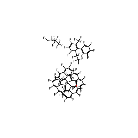 FC[NH2+]C(F)(F)C(F)(F)F.Fc1c(F)c(F)c(-c2c(C(F)(F)F)c(F)c(F)c(F)c2C(F)(F)C(F)(F)F)c(F)c1F.Fc1c(F)c(F)c2[c]([Al-]([c]3c(F)c(F)c(F)c4c(F)c(F)c(F)c(F)c34)([c]3c(F)c(F)c(F)c4c(F)c(F)c(F)c(F)c34)[c]3c(F)c(F)c(F)c4c(F)c(F)c(F)c(F)c34)c(F)c(F)c(F)c2c1F